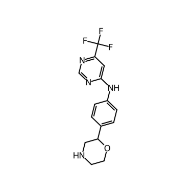 FC(F)(F)c1cc(Nc2ccc(C3CNCCO3)cc2)ncn1